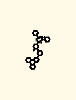 CC1CCC(C2=NC(C3=CCCCC3)NC(C3=CCCCC3)=N2)CC1C1=CC(c2ccc3c(c2)C2C=CCCC2C2=C3CCC=C2)CCC1